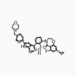 O=C1c2c(F)cc(C3CC3)cc2OCCN1c1cccc(-c2ncnc3[nH]c(-c4ccc(CN5CCOCC5)cn4)cc23)c1CO